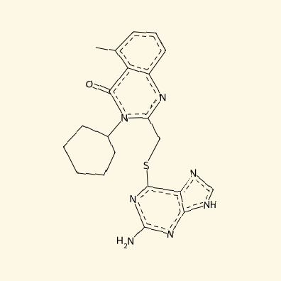 Cc1cccc2nc(CSc3nc(N)nc4[nH]cnc34)n(C3CCCCC3)c(=O)c12